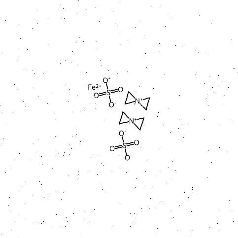 C1C[N+]12CC2.C1C[N+]12CC2.O=S(=O)([O-])[O-].O=S(=O)([O-])[O-].[Fe+2]